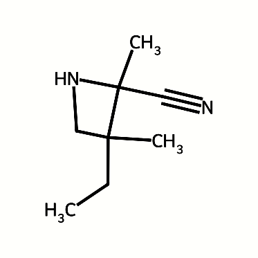 CCC1(C)CNC1(C)C#N